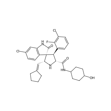 O=C(NC1CCC(O)CC1)[C@@H]1N[C@H](C=C2CCCC2)[C@]2(C(=O)Nc3cc(Cl)ccc32)[C@H]1c1cccc(Cl)c1F